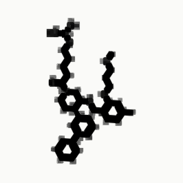 COCCCOc1cc(C)ccc1COC1CN(C(=O)CCCCON(O)O)CC[C@@H]1c1cccc(-c2ccccc2)c1